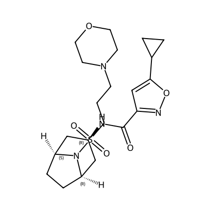 O=C(N[C@H]1C[C@H]2CC[C@@H](C1)N2S(=O)(=O)CCCN1CCOCC1)c1cc(C2CC2)on1